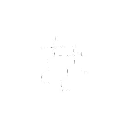 CCCCCCCCCCCCCC[N+](C)(C)CC.CCCCCCCCCCCCCC[N+](C)(C)CC.[Br-].[Br-]